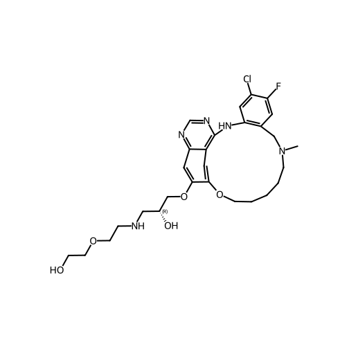 CN1CCCCCOc2cc3c(ncnc3cc2OC[C@H](O)CNCCOCCO)Nc2cc(Cl)c(F)cc2C1